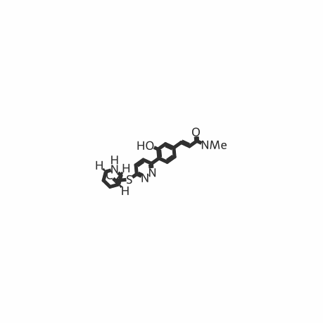 CNC(=O)/C=C/c1ccc(-c2ccc(S[C@H]3C[C@@H]4CC[C@H]3CN4)nn2)c(O)c1